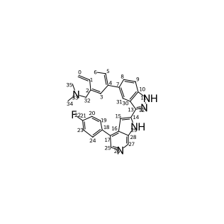 C=C/C(=C\C(=C/C)c1ccc2[nH]nc(-c3cc4c(-c5ccc(F)cc5)cncc4[nH]3)c2c1)CN(C)C